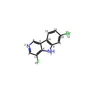 Fc1cncc2c1[nH]c1cc(Br)ccc12